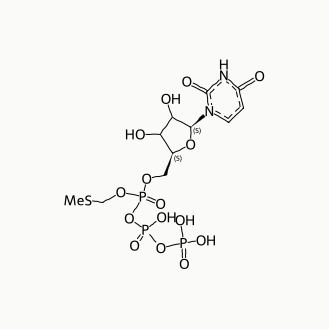 CSCOP(=O)(OC[C@@H]1O[C@H](n2ccc(=O)[nH]c2=O)C(O)C1O)OP(=O)(O)OP(=O)(O)O